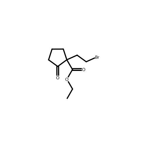 CCOC(=O)C1(CCBr)CCCC1=O